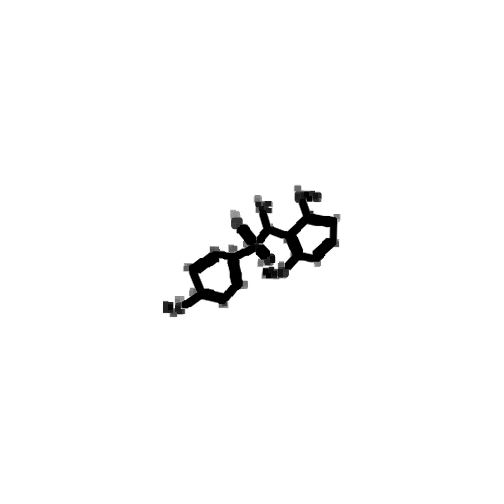 [C-]#[N+]C(c1c(OC)cccc1OC)S(=O)(=O)c1ccc(C)cc1